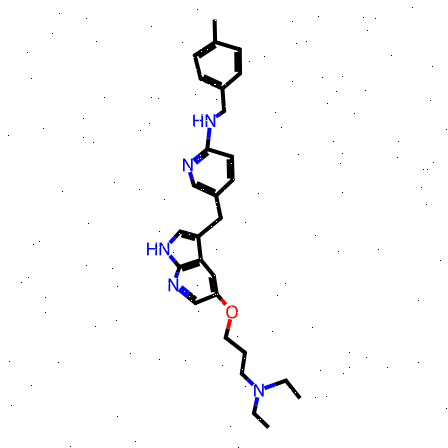 CCN(CC)CCCOc1cnc2[nH]cc(Cc3ccc(NCc4ccc(C)cc4)nc3)c2c1